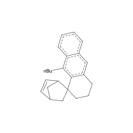 CCCCc1c2c(cc3ccccc13)CCCC21CC2C=CC1C2